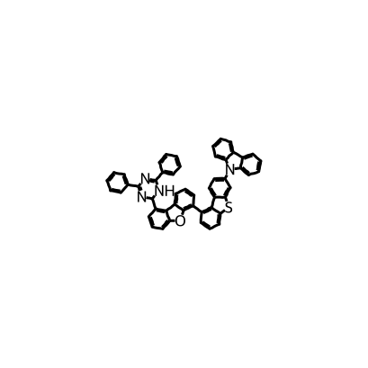 c1ccc(C2=NC(c3cccc4oc5c(-c6cccc7sc8cc(-n9c%10ccccc%10c%10ccccc%109)ccc8c67)cccc5c34)NC(c3ccccc3)=N2)cc1